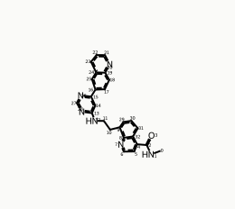 CNC(=O)c1ccnc2c(CCNc3cc(-c4ccc5ncccc5c4)ncn3)cccc12